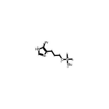 CC(C)c1[nH]cnc1CCCO[Si](C)(C)C(C)(C)C